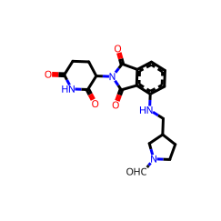 O=CN1CCC(CNc2cccc3c2C(=O)N(C2CCC(=O)NC2=O)C3=O)C1